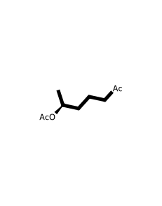 CC(=O)CCC[C@H](C)OC(C)=O